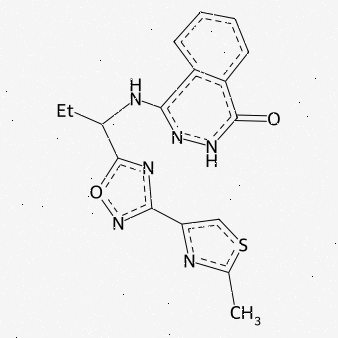 [CH2]CC(Nc1n[nH]c(=O)c2ccccc12)c1nc(-c2csc(C)n2)no1